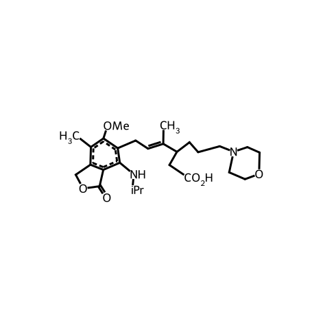 COc1c(C)c2c(c(NC(C)C)c1C/C=C(\C)C(CCCN1CCOCC1)CC(=O)O)C(=O)OC2